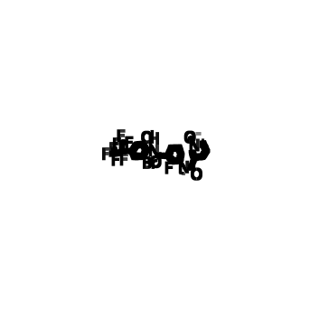 CN(C(=O)c1ccc[n+]([O-])c1)c1cccc(C(=O)Nc2c(Cl)cc(C(F)(C(F)(F)F)C(F)(F)F)cc2Br)c1F